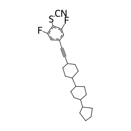 N#CSc1c(F)cc(C#CC2CCC(C3CCC(C4CCCC4)CC3)CC2)cc1F